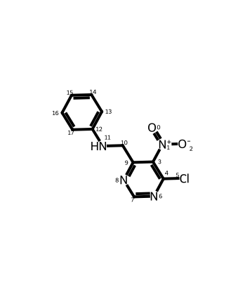 O=[N+]([O-])c1c(Cl)ncnc1CNc1ccccc1